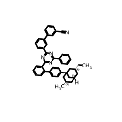 CC[C@@H]1C[C@@H]2C[C@H](C)CC(c3ccc(-c4ccccc4-c4nc(-c5ccccc5)nc(-c5cccc(-c6cccc(C#N)c6)c5)n4)cc3)(C1)C2